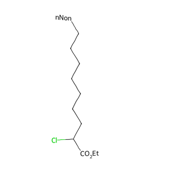 CCCCCCCCCCCCCCCCC(Cl)C(=O)OCC